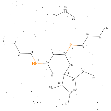 CCCCPC1CC(PCCCC)CC(C(C)CC)(C(C)CC)C1.[CH3][Ti][CH3]